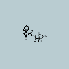 CCC(C)(C)C(=O)OCC(=O)N1C(=O)CC12CC1CCC2C1